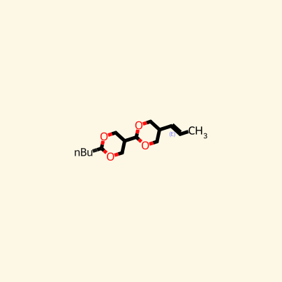 C/C=C/C1COC(C2COC(CCCC)OC2)OC1